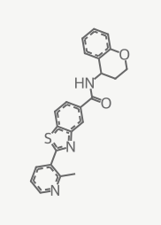 Cc1ncccc1-c1nc2cc(C(=O)NC3CCOc4ccccc43)ccc2s1